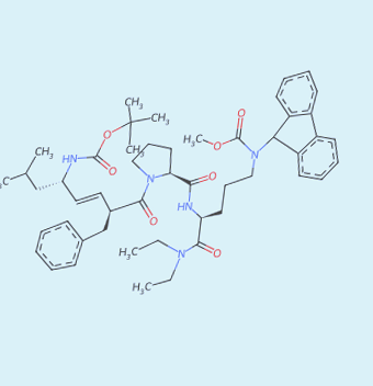 CCN(CC)C(=O)[C@H](CCCN(C(=O)OC)C1c2ccccc2-c2ccccc21)NC(=O)[C@@H]1CCCN1C(=O)[C@H](/C=C/[C@H](CC(C)C)NC(=O)OC(C)(C)C)Cc1ccccc1